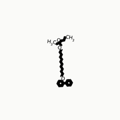 CCCC1OC1(CC)COCCCCCCCCCCCCOc1ccccc1-c1ccccc1